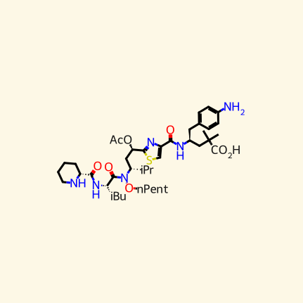 CCCCCON(C(=O)[C@@H](NC(=O)[C@H]1CCCCN1)[C@@H](C)CC)[C@H](C[C@@H](OC(C)=O)c1nc(C(=O)N[C@@H](Cc2ccc(N)cc2)CC(C)(C)C(=O)O)cs1)C(C)C